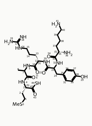 CSCC[C@H](NC(=O)C(C)NC(=O)[C@H](CCCNC(=N)N)NC(=O)C(Cc1ccc(O)cc1)NC(=O)[C@@H](N)CCCCN)C(=O)S